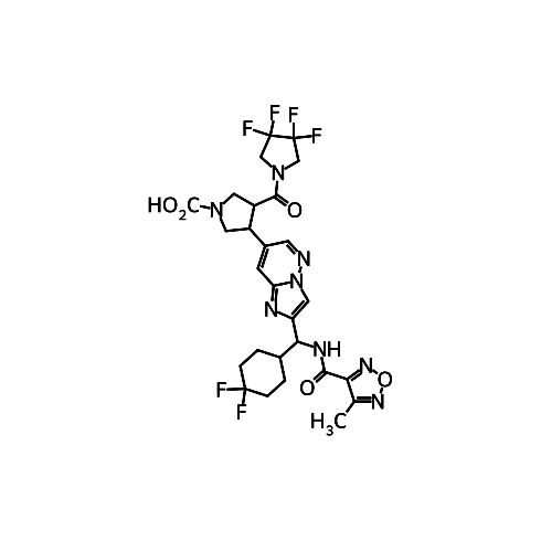 Cc1nonc1C(=O)NC(c1cn2ncc(C3CN(C(=O)O)CC3C(=O)N3CC(F)(F)C(F)(F)C3)cc2n1)C1CCC(F)(F)CC1